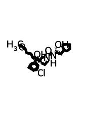 COCCCC[C@@](O)(c1cccc(Cl)c1)[C@@H]1CCCN(C(=O)N[C@H](CO)CC2CCCCC2)C1